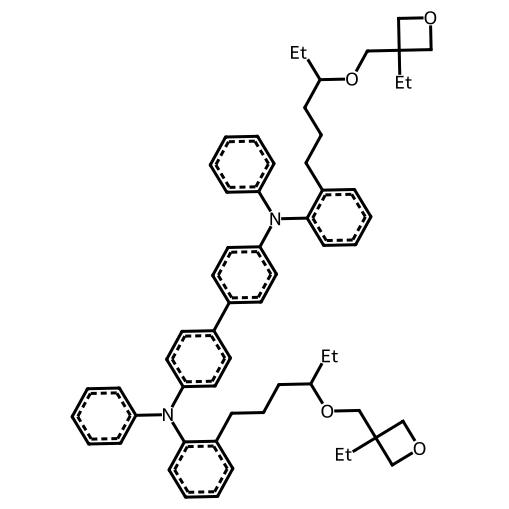 CCC(CCCc1ccccc1N(c1ccccc1)c1ccc(-c2ccc(N(c3ccccc3)c3ccccc3CCCC(CC)OCC3(CC)COC3)cc2)cc1)OCC1(CC)COC1